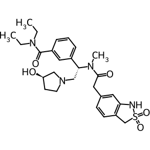 CCN(CC)C(=O)c1cccc([C@@H](CN2CC[C@@H](O)C2)N(C)C(=O)Cc2ccc3c(c2)NS(=O)(=O)C3)c1